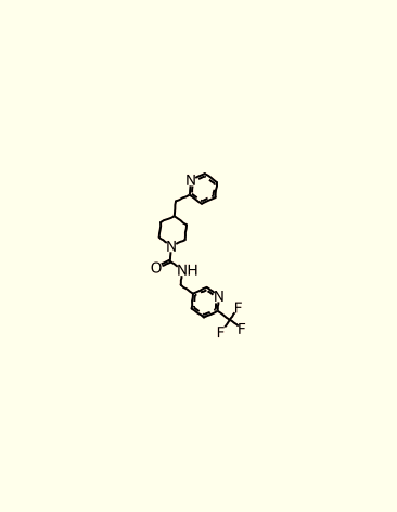 O=C(NCc1ccc(C(F)(F)F)nc1)N1CCC(Cc2ccccn2)CC1